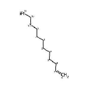 C=CCCCCCCCSCC(C)C